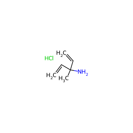 C=CC(C)(N)C=C.Cl